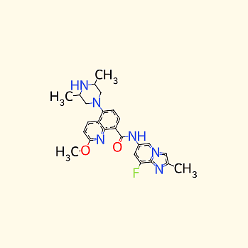 COc1ccc2c(N3CC(C)NC(C)C3)ccc(C(=O)Nc3cc(F)c4nc(C)cn4c3)c2n1